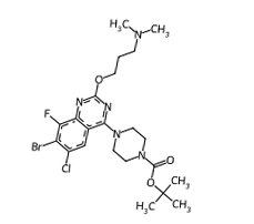 CN(C)CCCOc1nc(N2CCN(C(=O)OC(C)(C)C)CC2)c2cc(Cl)c(Br)c(F)c2n1